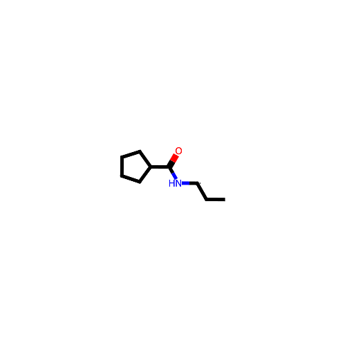 CC[CH]NC(=O)C1CCCC1